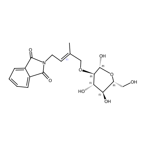 C/C(=C\CN1C(=O)c2ccccc2C1=O)CO[C@@H]1[C@@H](O)[C@H](O)[C@@H](CO)O[C@H]1O